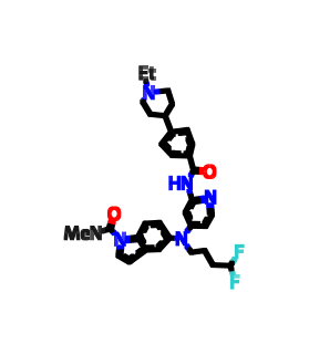 CCN1CCC(c2ccc(C(=O)Nc3cc(N(CCCC(F)F)c4ccc5c(ccn5C(=O)NC)c4)ccn3)cc2)CC1